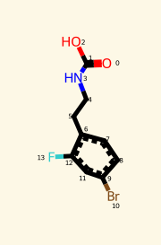 O=C(O)NCCc1ccc(Br)cc1F